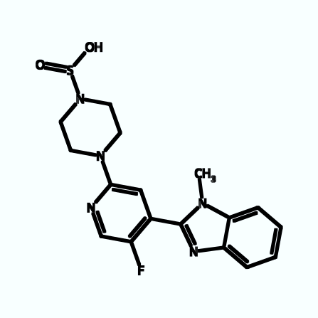 Cn1c(-c2cc(N3CCN(S(=O)O)CC3)ncc2F)nc2ccccc21